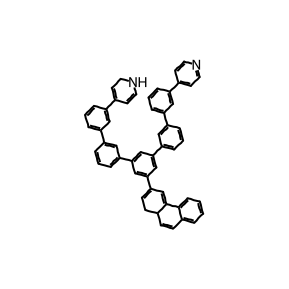 C1=CC(c2cccc(-c3cccc(-c4cc(C5=CCC6C=Cc7ccccc7C6=C5)cc(-c5cccc(-c6cccc(-c7ccncc7)c6)c5)c4)c3)c2)=CCN1